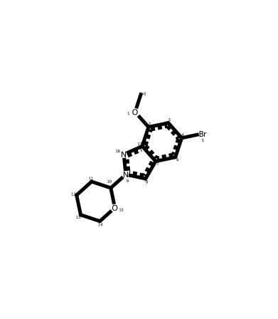 COc1cc(Br)cc2cn(C3CCCCO3)nc12